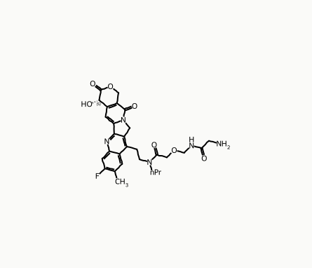 CCCN(CCc1c2c(nc3cc(F)c(C)cc13)-c1cc3c(c(=O)n1C2)COC(=O)[C@H]3O)C(=O)COCNC(=O)CN